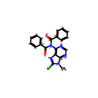 Cn1c(Br)nc2c(N(C(=O)c3ccccc3)C(=O)c3ccccc3)ncnc21